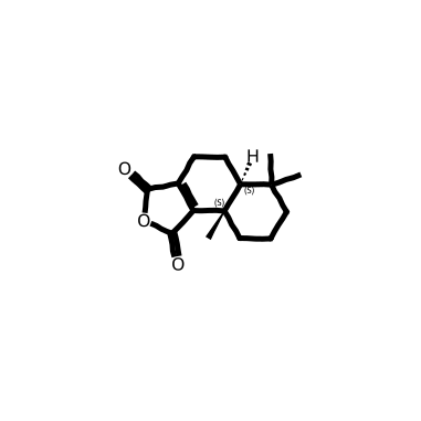 CC1(C)CCC[C@]2(C)C3=C(CC[C@@H]12)C(=O)OC3=O